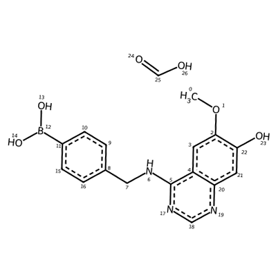 COc1cc2c(NCc3ccc(B(O)O)cc3)ncnc2cc1O.O=CO